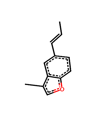 CC=Cc1ccc2occ(C)c2c1